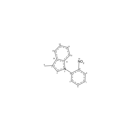 Cc1cn(-c2ccccc2[N+](=O)[O-])c2ccccc12